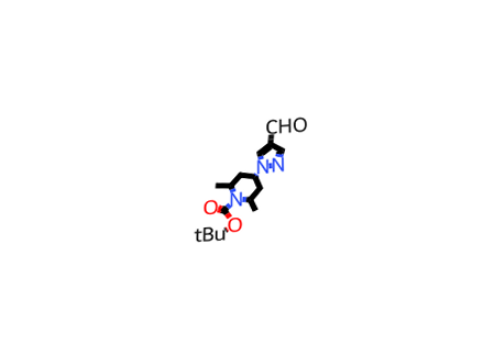 CC1CC(n2cc(C=O)cn2)CC(C)N1C(=O)OC(C)(C)C